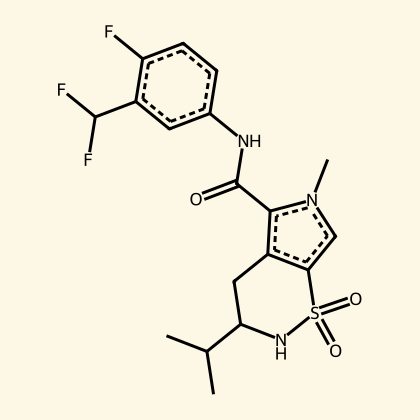 CC(C)C1Cc2c(cn(C)c2C(=O)Nc2ccc(F)c(C(F)F)c2)S(=O)(=O)N1